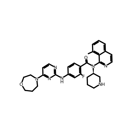 Cc1cccc2ccnc(N(C(=O)c3ccc(Nc4nccc(N5CCCOCC5)n4)cc3F)[C@@H]3CCCNC3)c12